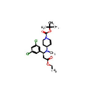 CCOC(=O)C[C@@H](c1cc(Cl)cc(Cl)c1)N(C)C1CCN(C(=O)OC(C)(C)C)CC1